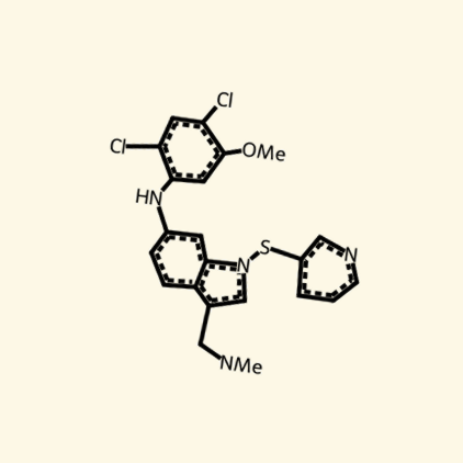 CNCc1cn(Sc2cccnc2)c2cc(Nc3cc(OC)c(Cl)cc3Cl)ccc12